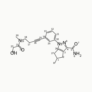 CC1Cc2c(C(N)=O)nn(-c3cccc(C#CCCN(C)C(=O)CO)c3)c2C1